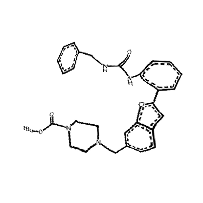 CC(C)(C)OC(=O)N1CCN(Cc2ccc3cc(-c4ccccc4NC(=O)NCc4ccccc4)oc3c2)CC1